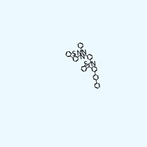 c1ccc(-c2ccc(-c3ccc4nc(-c5cccc(-c6nc(-c7ccccc7)nc(-c7cccc8c7sc7ccccc78)n6)c5)c5sc6ccccc6c5c4c3)cc2)cc1